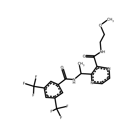 COCCNC(=O)c1nccnc1C(C)NC(=O)c1cc(C(F)(F)F)cc(C(F)(F)F)c1